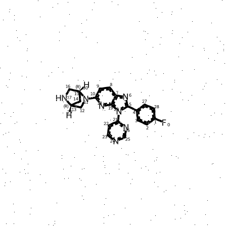 Fc1ccc(-c2nc3ccc(N4C[C@H]5C[C@@H]4CN5)nc3n2-c2ccncn2)cc1